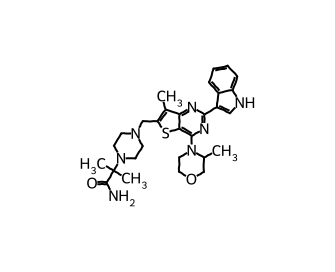 Cc1c(CN2CCN(C(C)(C)C(N)=O)CC2)sc2c(N3CCOCC3C)nc(-c3c[nH]c4ccccc34)nc12